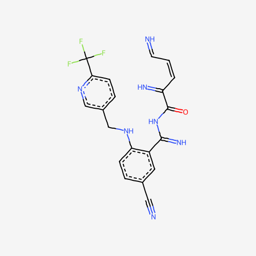 N#Cc1ccc(NCc2ccc(C(F)(F)F)nc2)c(C(=N)NC(=O)C(=N)/C=C\C=N)c1